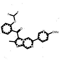 COc1ccc(-c2cn3c(C(=O)c4ccccc4OC(F)F)c(C)nc3cn2)cn1